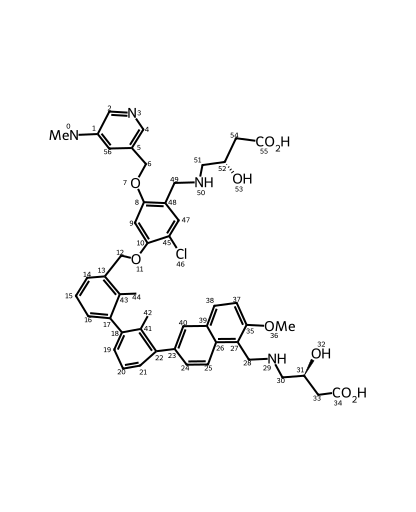 CNc1cncc(COc2cc(OCc3cccc(-c4cccc(-c5ccc6c(CNC[C@@H](O)CC(=O)O)c(OC)ccc6c5)c4C)c3C)c(Cl)cc2CNC[C@@H](O)CC(=O)O)c1